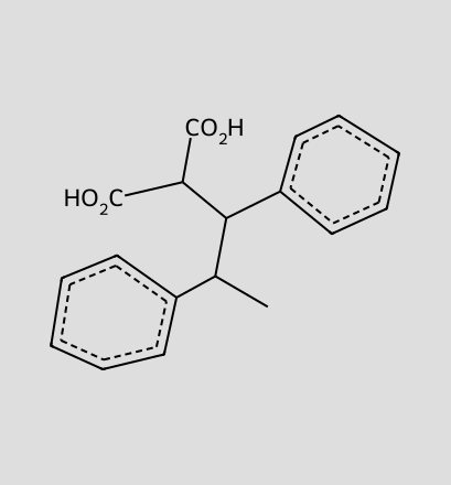 CC(c1ccccc1)C(c1ccccc1)C(C(=O)O)C(=O)O